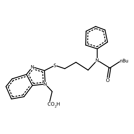 CCCCC(=O)N(CCCSc1nc2ccccc2n1CC(=O)O)c1ccccc1